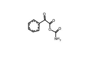 NC(=O)OC(=O)C(=O)c1ccccc1